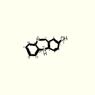 Oc1ccc2c(c1)C=Nc1ccccc1N2